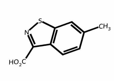 Cc1ccc2c(C(=O)O)nsc2c1